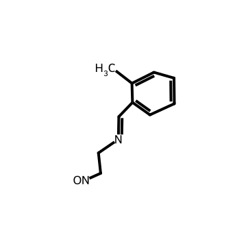 Cc1ccccc1/C=N/CCN=O